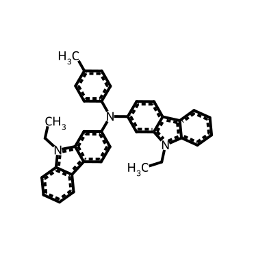 CCn1c2ccccc2c2ccc(N(c3ccc(C)cc3)c3ccc4c5ccccc5n(CC)c4c3)cc21